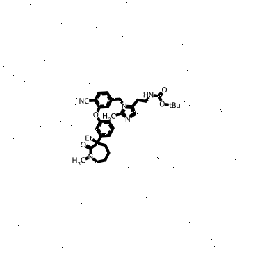 CCC1(c2cccc(Oc3cc(Cn4c(CCNC(=O)OC(C)(C)C)cnc4C)ccc3C#N)c2)CCCCN(C)C1=O